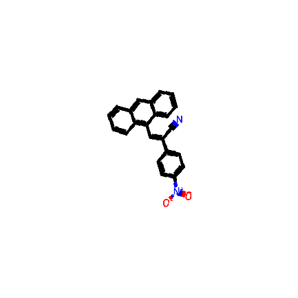 N#C/C(=C\c1c2ccccc2cc2ccccc12)c1ccc([N+](=O)[O-])cc1